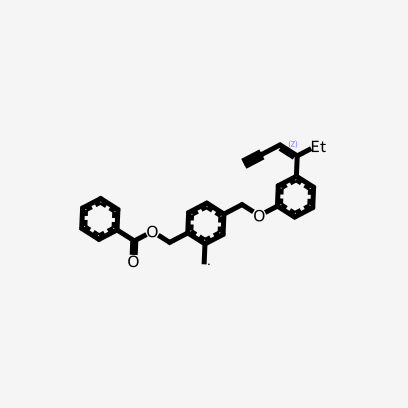 C#C/C=C(/CC)c1cccc(OCc2ccc(COC(=O)c3ccccc3)c([CH2])c2)c1